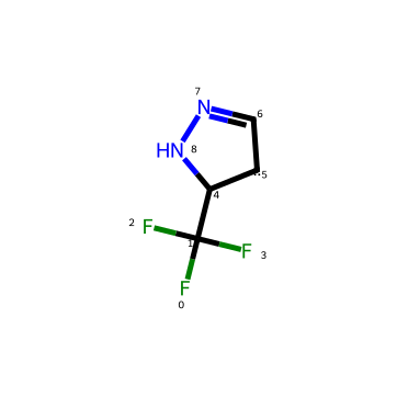 FC(F)(F)C1[C]C=NN1